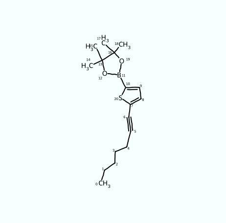 CCCCCC#Cc1ccc(B2OC(C)(C)C(C)(C)O2)s1